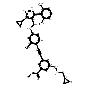 COC(=O)c1cc(C#Cc2ccc(OCc3c(-c4c(Cl)cccc4Cl)noc3C3CC3)cc2Cl)cc(NOCC2CC2)c1